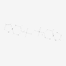 CC(C)(CCC(C)(C)N1CCC2(CCNC2)CC1)N1CCC2(CCCC2)CC1